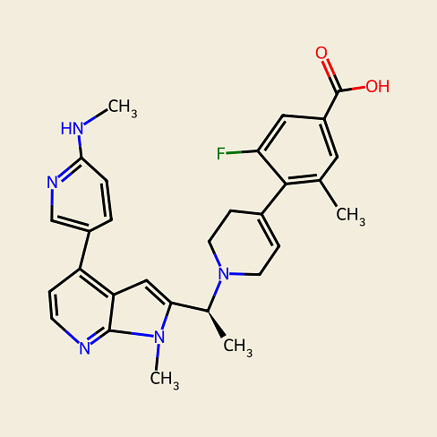 CNc1ccc(-c2ccnc3c2cc([C@H](C)N2CC=C(c4c(C)cc(C(=O)O)cc4F)CC2)n3C)cn1